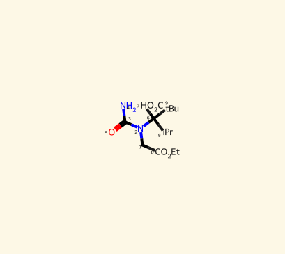 CCOC(=O)CN(C(N)=O)C(C(=O)O)(C(C)C)C(C)(C)C